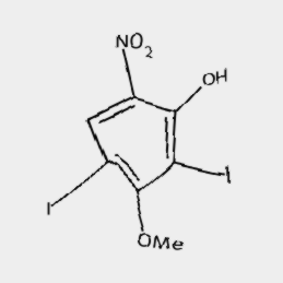 COc1c(I)cc([N+](=O)[O-])c(O)c1I